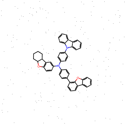 c1ccc2c(c1)oc1c(-c3ccc(N(c4ccc(-n5c6ccccc6c6ccccc65)cc4)c4ccc5c(c4)C4CCCCC4O5)cc3)cccc12